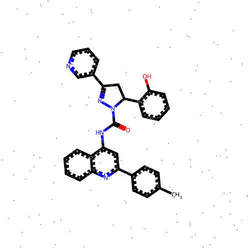 Cc1ccc(-c2cc(NC(=O)N3N=C(c4cccnc4)CC3c3ccccc3O)c3ccccc3n2)cc1